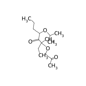 CCCC(OC(C)C)C(=O)C(C)(CC)OCC(C)=O